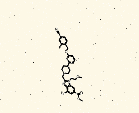 COCCn1c(CN2CCC(c3cccc(OCc4ccc(C#N)cc4F)n3)CC2)nc2c(Br)cc(C(=O)OC)cc21